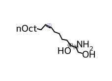 CCCCCCCCC/C=C\CCCC[C@@H](O)[C@@H](N)CO